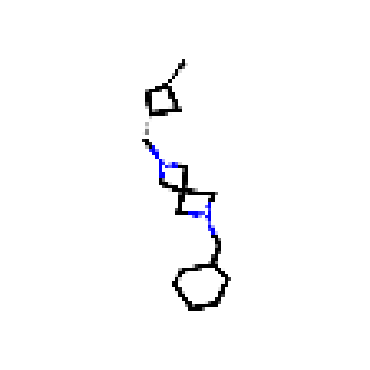 C[C@H]1C[C@H](CN2CC3(CN(CC4CCCCC4)C3)C2)C1